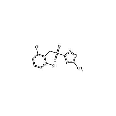 Cc1nnc(S(=O)(=O)Cc2c(Cl)cccc2Cl)s1